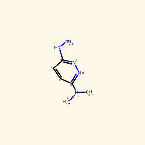 CN(C)c1ccc(NN)nn1